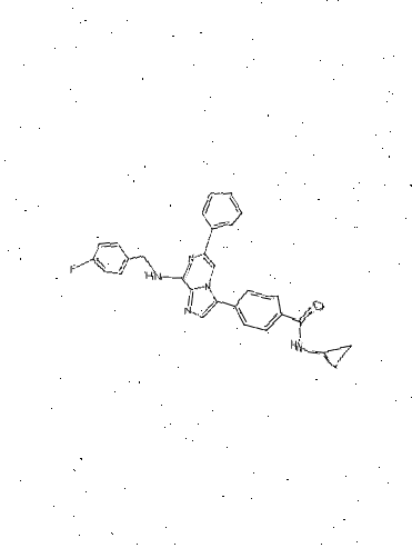 O=C(NC1CC1)c1ccc(-c2cnc3c(NCc4ccc(F)cc4)nc(-c4ccccc4)cn23)cc1